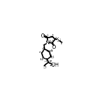 CSC1CC(=O)N(CC2CCC(C(C)O)CC2)C1=O